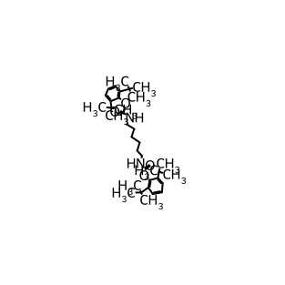 CC(C)(C)c1cccc(C(C)(C)C)c1OC(=O)NCCCCCCNC(=O)Oc1c(C(C)(C)C)cccc1C(C)(C)C